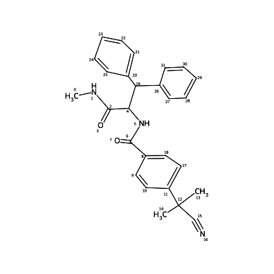 CNC(=O)C(NC(=O)c1ccc(C(C)(C)C#N)cc1)C(c1ccccc1)c1ccccc1